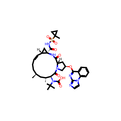 C[C@H]1CC/C=C\[C@@H]2C[C@@]2(C(=O)NS(=O)(=O)C2(C)CC2)NC(=O)[C@@H]2C[C@@H](Oc3nc4nccn4c4ccccc34)CN2C(=O)[C@@H](N(C(=O)O)C(C)(C)C)[C@H](C)C1